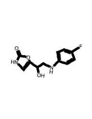 O=c1[nH]cc(C(O)CNc2ccc(F)cc2)o1